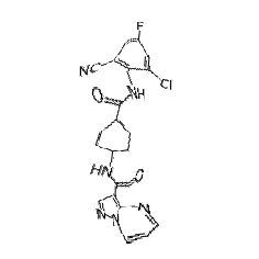 N#Cc1cc(F)cc(Cl)c1NC(=O)C1CCC(NC(=O)c2cnn3cccnc23)CC1